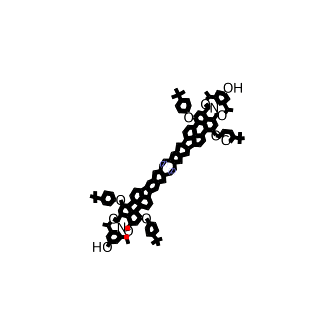 CC(C)c1cc(O)cc(C(C)C)c1N1C(=O)c2cc(Oc3ccc(C(C)(C)C)cc3)c3c4ccc5c6c(ccc(c7c(Oc8ccc(C(C)(C)C)cc8)cc(c2c37)C1=O)c64)-c1cc2cc3c(cc2cc1-5)/C=C\c1cc2cc4c(cc2cc1/C=C\3)-c1ccc2c3c(Oc5ccc(C(C)(C)C)cc5)cc5c6c(cc(Oc7ccc(C(C)(C)C)cc7)c(c7ccc-4c1c72)c63)C(=O)N(c1c(C(C)C)cc(O)cc1C(C)C)C5=O